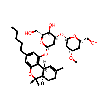 CCCCCc1cc(O[C@H]2C[C@@H](O[C@H]3C[C@@H](OC)C[C@@H](CO)O3)[C@H](O)[C@@H](CO)O2)c2c(c1)OC(C)(C)[C@@H]1CCC(C)=C[C@@H]21